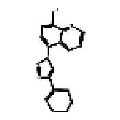 Oc1ccc(-n2cc(C3=CCCCC3)nn2)c2cccnc12